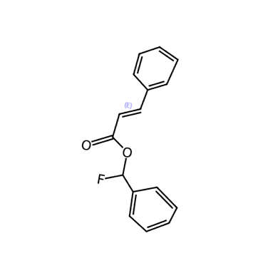 O=C(/C=C/c1ccccc1)OC(F)c1ccccc1